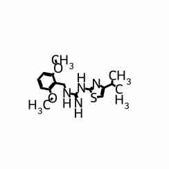 COc1cccc(OC)c1CNC(=N)Nc1nc(C(C)C)cs1